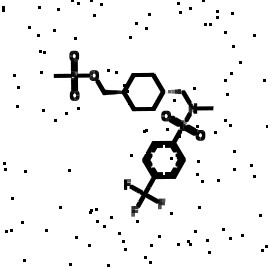 CN(C[C@H]1CC[C@H](COS(C)(=O)=O)CC1)S(=O)(=O)c1ccc(C(F)(F)F)cc1